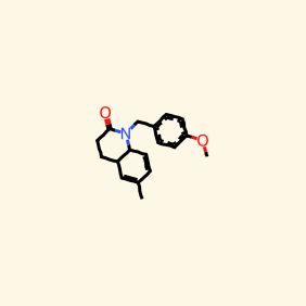 COc1ccc(CN2C(=O)CCC3C=C(C)C=CC32)cc1